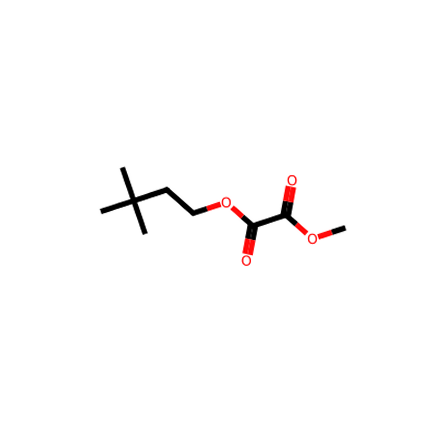 COC(=O)C(=O)OCCC(C)(C)C